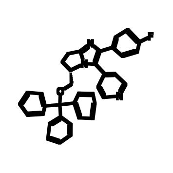 Fc1ccc(-c2nc3n(c2-c2ccncc2)[C@H](COC(c2ccccc2)(c2ccccc2)c2ccccc2)CC3)cc1